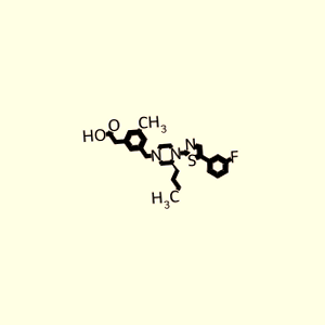 CCCC[C@H]1CN(Cc2cc(C)cc(CC(=O)O)c2)CCN1c1ncc(-c2cccc(F)c2)s1